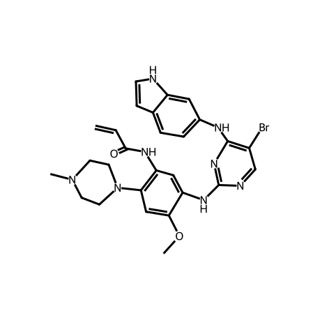 C=CC(=O)Nc1cc(Nc2ncc(Br)c(Nc3ccc4cc[nH]c4c3)n2)c(OC)cc1N1CCN(C)CC1